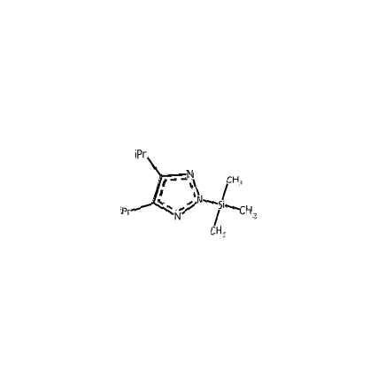 CC(C)c1nn([Si](C)(C)C)nc1C(C)C